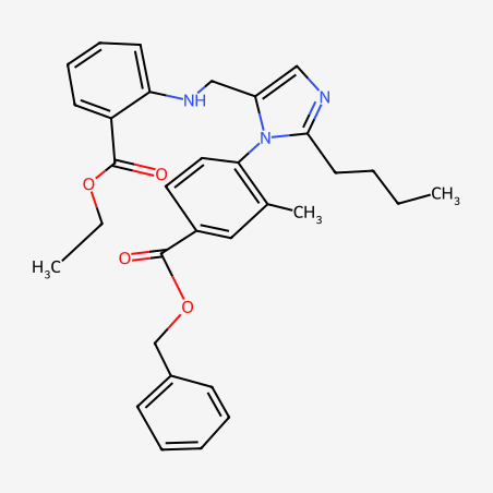 CCCCc1ncc(CNc2ccccc2C(=O)OCC)n1-c1ccc(C(=O)OCc2ccccc2)cc1C